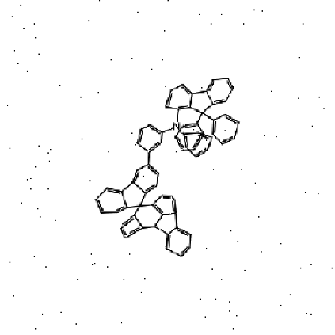 c1ccc(N(c2cccc(-c3ccc4c(c3)-c3ccccc3C43c4ccccc4C4c5ccccc5-c5cccc3c54)c2)c2cccc3c2C(c2ccccc2)(c2ccccc2)c2ccccc2-3)cc1